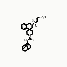 O=C(O)CCS(=O)(=O)N1Cc2ccccc2C2(CCN(C(=O)NC3C4CC5CC(C4)CC3C5)CC2)C1